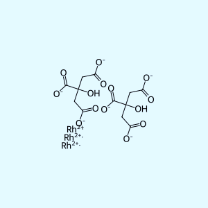 O=C([O-])CC(O)(CC(=O)[O-])C(=O)[O-].O=C([O-])CC(O)(CC(=O)[O-])C(=O)[O-].[Rh+2].[Rh+2].[Rh+2]